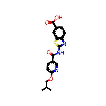 CC(C)COc1ccc(C(=O)Nc2nc3ccc(C(=O)O)cc3s2)cn1